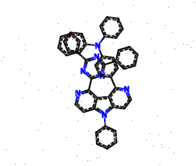 c1ccc(-c2nc(-c3ccccc3)nc(-c3nccc4c3c3c(-c5ccc(N(c6ccccc6)c6ccccc6)cc5)nccc3n4-c3ccccc3)n2)cc1